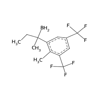 BC(C)(CC)c1cc(C(F)(F)F)cc(C(F)(F)F)c1C